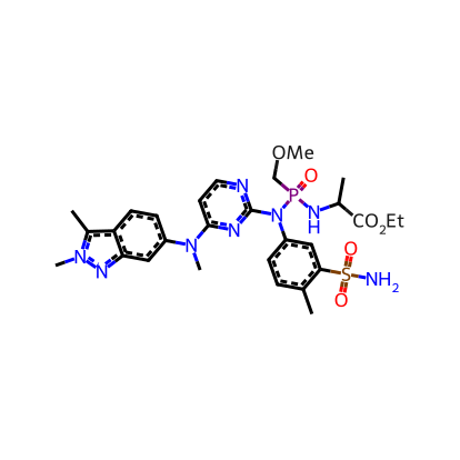 CCOC(=O)C(C)NP(=O)(COC)N(c1ccc(C)c(S(N)(=O)=O)c1)c1nccc(N(C)c2ccc3c(C)n(C)nc3c2)n1